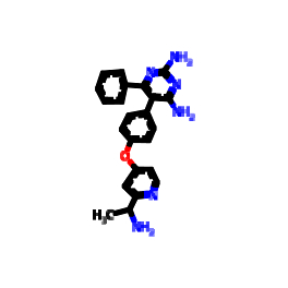 CC(N)c1cc(Oc2ccc(-c3c(N)nc(N)nc3-c3ccccc3)cc2)ccn1